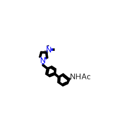 CC(=O)Nc1cccc(-c2ccc(CN3CC[C@H](N(C)C)C3)cc2)c1